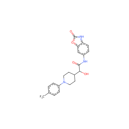 O=C(Nc1ccc2[nH]c(=O)oc2c1)C(O)C1CCN(c2ccc(C(F)(F)F)cc2)CC1